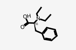 CCN(CC)[C@@H](Cc1ccccc1)C(=O)O